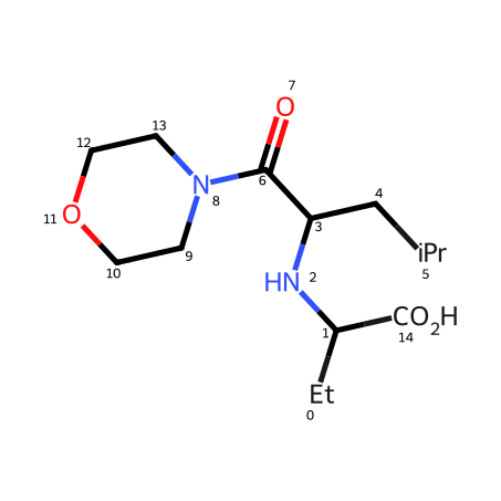 CCC(NC(CC(C)C)C(=O)N1CCOCC1)C(=O)O